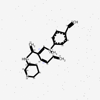 C#Cc1ccc(N(C)/C=C(\C=C/C=C)C(=C)NC2CN3CCC2CC3)cc1